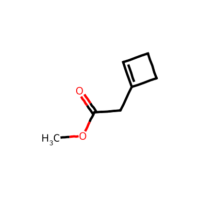 COC(=O)CC1=CCC1